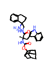 C[C@@](Cc1c[nH]c2ccccc12)(NC(=O)OC1C2CC3CC(C2)CC1C3)C(=O)NCC1(N)CCCc2ccccc21